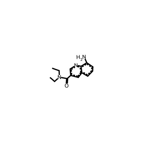 CCN(CC)C(=O)c1cnc2c(N)cccc2c1